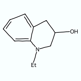 CCN1CC(O)Cc2ccccc21